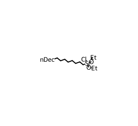 CCCCCCCCCCCCCCCCCC[Si](Cl)(OCC)OCC